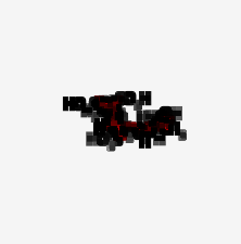 C[C@@H](NC(=O)c1ccc(NNC(=O)CCCCCC2=C(/C=C/C3=C(Oc4ccc(S(=O)(=O)O)cc4)C(=C/C=C4/N(CCCCS(=O)(=O)O)c5ccc(S(=O)(=O)O)cc5C4(C)C)/CCC3)C(C)(C)c3cc(S(=O)(=O)O)ccc32)nc1)C(=O)N1CCC[C@H]1B(O)O